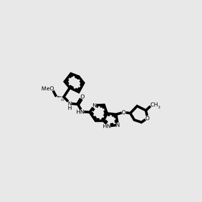 COC[C@@H](NC(=O)Nc1cc2[nH]nc(OC3CCOC(C)C3)c2cn1)c1ccccc1